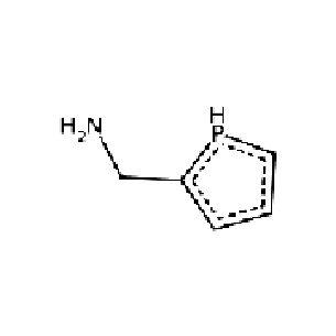 NCc1ccc[pH]1